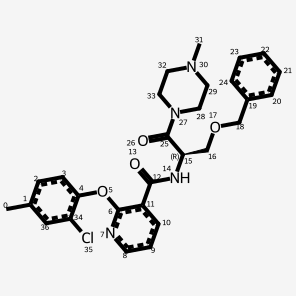 Cc1ccc(Oc2ncccc2C(=O)N[C@H](COCc2ccccc2)C(=O)N2CCN(C)CC2)c(Cl)c1